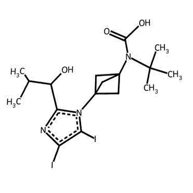 CC(C)C(O)c1nc(I)c(I)n1C12CC(N(C(=O)O)C(C)(C)C)(C1)C2